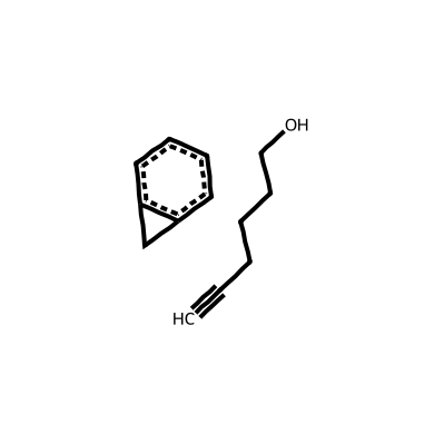 C#CCCCCO.c1ccc2c(c1)C2